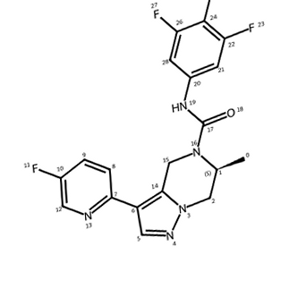 C[C@H]1Cn2ncc(-c3ccc(F)cn3)c2CN1C(=O)Nc1cc(F)c(F)c(F)c1